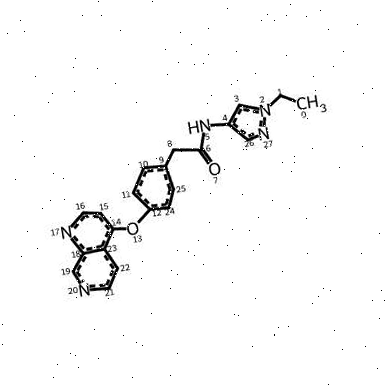 CCn1cc(NC(=O)Cc2ccc(Oc3ccnc4cnccc34)cc2)cn1